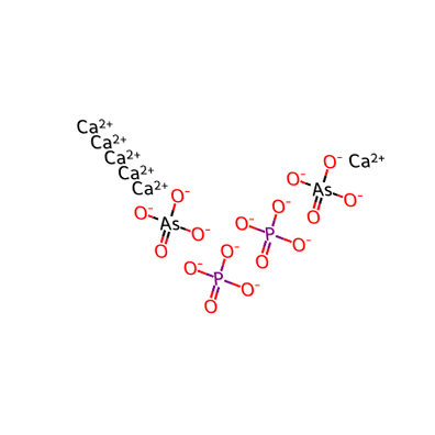 O=P([O-])([O-])[O-].O=P([O-])([O-])[O-].O=[As]([O-])([O-])[O-].O=[As]([O-])([O-])[O-].[Ca+2].[Ca+2].[Ca+2].[Ca+2].[Ca+2].[Ca+2]